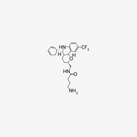 NCCCC(=O)NC[C@H]1CC[C@@H]2[C@H](O1)c1cc(C(F)(F)F)ccc1N[C@H]2C1C=CC=CC1